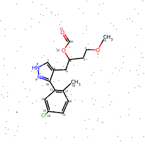 COCCC(Cc1c[nH]nc1-c1cc(Cl)ccc1C)OC=O